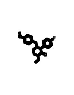 CCC1CCN(Cc2ccc(OC)cc2)C(c2ccc(F)cc2)C1=O